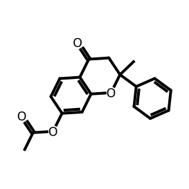 CC(=O)Oc1ccc2c(c1)OC(C)(c1ccccc1)CC2=O